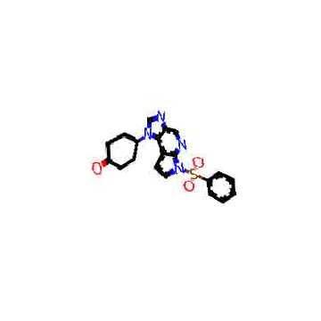 O=C1CCC(n2cnc3cnc4c(ccn4S(=O)(=O)c4ccccc4)c32)CC1